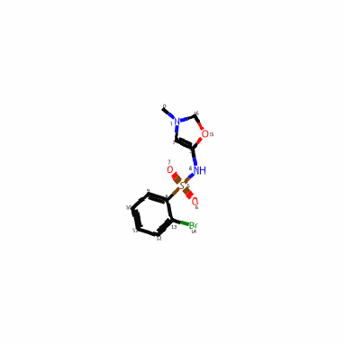 CN1C=C(NS(=O)(=O)c2ccccc2Br)OC1